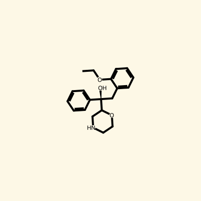 CCOc1ccccc1C[C@@](O)(c1ccccc1)C1CNCCO1